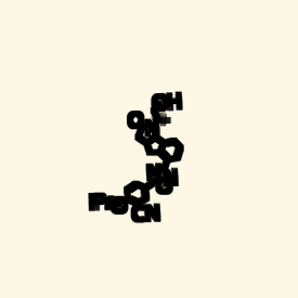 CC(C)Oc1ccc(-c2nc(-c3cccc4c3CC3CC(=O)N([C@H](C)CO)C43)no2)cc1C#N